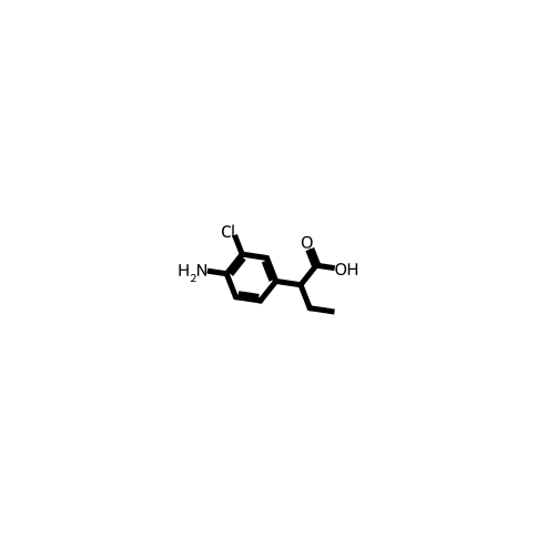 CCC(C(=O)O)c1ccc(N)c(Cl)c1